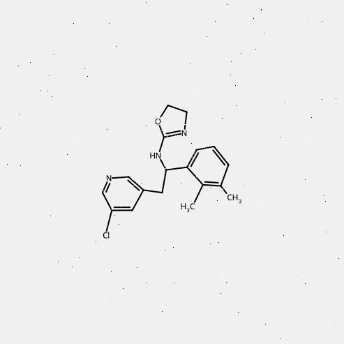 Cc1cccc(C(Cc2cncc(Cl)c2)NC2=NCCO2)c1C